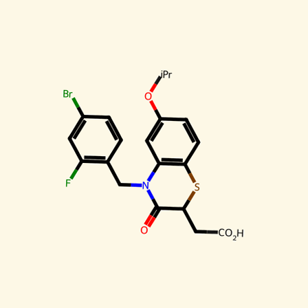 CC(C)Oc1ccc2c(c1)N(Cc1ccc(Br)cc1F)C(=O)C(CC(=O)O)S2